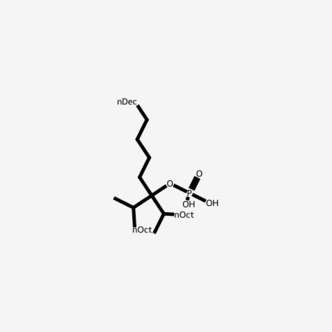 CCCCCCCCCCCCCCC(OP(=O)(O)O)(C(C)CCCCCCCC)C(C)CCCCCCCC